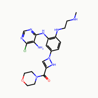 CNCCNc1ccc(-n2cc(C(=O)N3CCOCC3)[nH]2)cc1Nc1ncnc(Cl)c1N